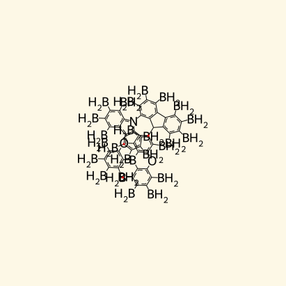 Bc1c(B)c(B)c2c(c1B)Oc1c(B)c(C3c4c(B)c(B)c(B)c(B)c4-c4c(B)c(B)c(B)c(-n5c6c(B)c(B)c(B)c(B)c6c6c(B)c(B)c(B)c(B)c65)c43)c(B)c3c1B2c1c(B)c(B)c(B)c(B)c1O3